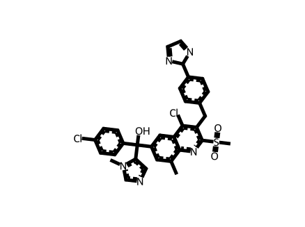 Cc1cc(C(O)(c2ccc(Cl)cc2)c2cncn2C)cc2c(Cl)c(Cc3ccc(C4N=CC=N4)cc3)c(S(C)(=O)=O)nc12